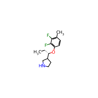 CC[C@H](Oc1ccc(C)c(F)c1F)C1CCNC1